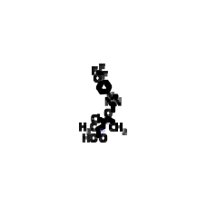 C=C/C(OCc1ncn(-c2ccc(OC(F)(F)F)cc2)n1)=C(Cl)\C=C(/C)C(=O)O